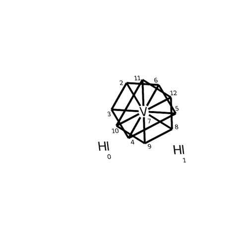 I.I.[CH]12[CH]3[CH]4[CH]5[CH]1[V]23451678[CH]2[CH]1[CH]6[CH]7[CH]28